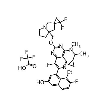 CCc1c(F)ccc2cc(O)cc(-c3ncc4c(N(C)C(C)C5CC5)nc(OC[C@@]56CCCN5C[C@@]5(CC5(F)F)C6)nc4c3F)c12.O=C(O)C(F)(F)F